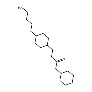 CCCCCC1CCC(CCC(=O)CC2CCCCC2)CC1